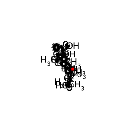 CC(C)C1=C2[C@H]3CC[C@@H]4[C@@]5(C)CC[C@H](OC(=O)CC(C)(C)C(=O)O)C(C)(C)[C@@H]5CC[C@@]4(C)[C@]3(C)CCC2(C(O)CN(CC(=O)O)Cc2ccccc2)CC1=O